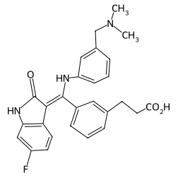 CN(C)Cc1cccc(N/C(=C2\C(=O)Nc3cc(F)ccc32)c2cccc(CCC(=O)O)c2)c1